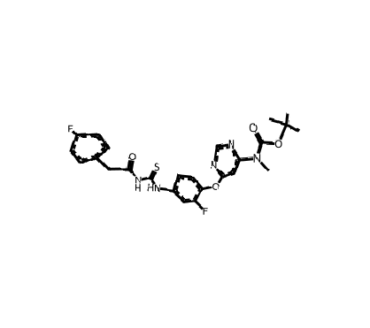 CN(C(=O)OC(C)(C)C)c1cc(Oc2ccc(NC(=S)NC(=O)Cc3ccc(F)cc3)cc2F)ncn1